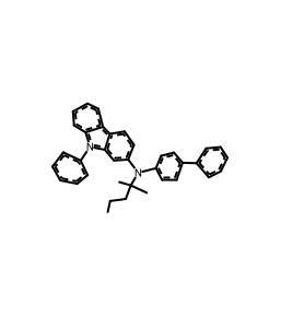 CCCC(C)(C)N(c1ccc(-c2ccccc2)cc1)c1ccc2c3ccccc3n(-c3ccccc3)c2c1